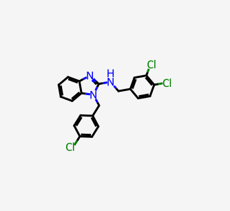 Clc1ccc(Cn2c(NCc3ccc(Cl)c(Cl)c3)nc3ccccc32)cc1